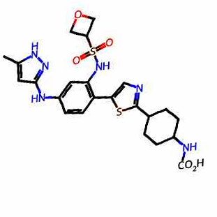 Cc1cc(Nc2ccc(-c3cnc(C4CCC(NC(=O)O)CC4)s3)c(NS(=O)(=O)C3COC3)c2)n[nH]1